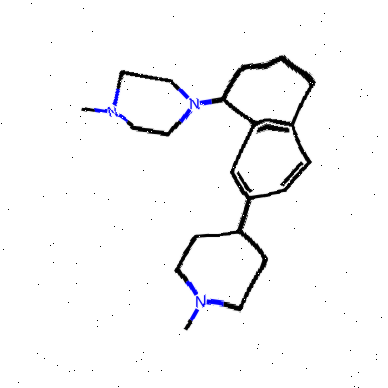 CN1CCC(c2ccc3c(c2)C(N2CCN(C)CC2)CCC3)CC1